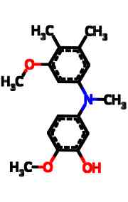 COc1ccc(N(C)c2cc(C)c(C)c(OC)c2)cc1O